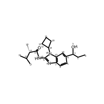 CCC(O)c1ccc2nc(NC(=O)[C@@H](C)C(C)C)n(C3CCC3)c2c1